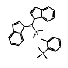 C[SiH](C)[Zr]([CH]1C=Cc2ccccc21)[CH]1C=Cc2ccccc21.Cc1ccccc1[N+](C)(C)C